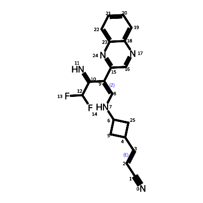 N#C/C=C/C1CC(N/C=C(\C(=N)C(F)F)c2cnc3ccccc3n2)C1